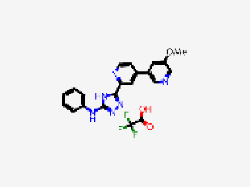 COc1cncc(-c2ccnc(-c3nnc(Nc4ccccc4)[nH]3)c2)c1.O=C(O)C(F)(F)F